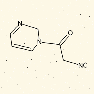 [C-]#[N+]CC(=O)N1C=CC=NC1